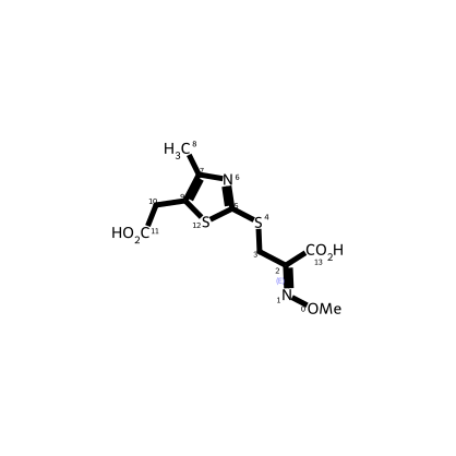 CO/N=C(/CSc1nc(C)c(CC(=O)O)s1)C(=O)O